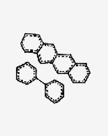 c1ccc(-c2ccccc2)cc1.c1ccc2cc3cc4ccccc4cc3cc2c1